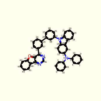 c1ccc(N(c2ccccc2)c2ccc3c(c2)c2ccccc2n3-c2cccc(-c3cccc(-c4ncnc5c4oc4ccccc45)c3)c2)cc1